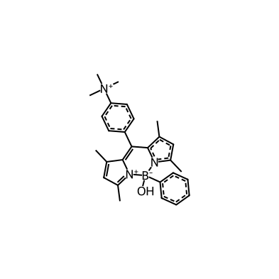 CC1=CC(C)=[N+]2C1=C(c1ccc([N+](C)(C)C)cc1)c1c(C)cc(C)n1[B-]2(O)c1ccccc1